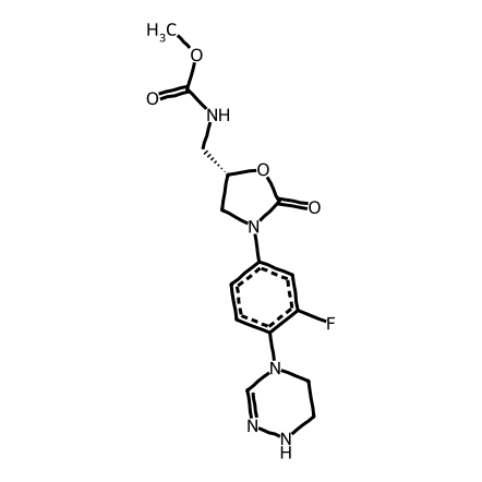 COC(=O)NC[C@H]1CN(c2ccc(N3C=NNCC3)c(F)c2)C(=O)O1